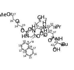 C=CC[C@H](NC(=O)[C@H](Cc1cccc2ccccc12)NC(=O)OCCOCCOC)C(=O)NC(CC(C)C)C(O)CC(=O)N[C@H](CO)C(C)CC